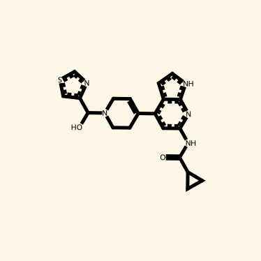 O=C(Nc1cc(C2=CCN(C(O)c3cscn3)CC2)c2cc[nH]c2n1)C1CC1